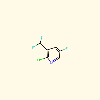 Fc1cnc(Cl)c(C(F)F)c1